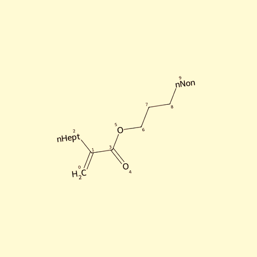 C=C(CCCCCCC)C(=O)OCCCCCCCCCCCC